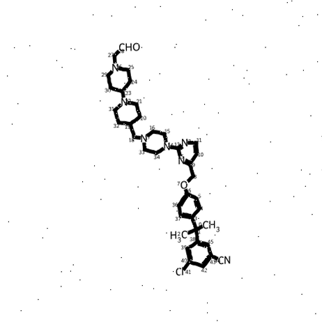 CC(C)(c1ccc(OCc2ccnc(N3CCN(CC4CCN(C5CCN(CC=O)CC5)CC4)CC3)n2)cc1)c1cc(Cl)cc(C#N)c1